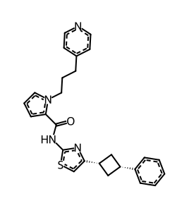 O=C(Nc1nc([C@H]2C[C@@H](c3ccccc3)C2)cs1)c1cccn1CCCc1ccncc1